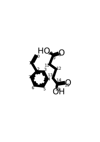 C=Cc1ccccc1.O=C(O)CCCC(=O)O